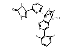 CC1(C)[C@H]2CC[C@]1(c1cncc(-c3n[nH]c(=O)[nH]3)n1)c1nnc(-c3c(F)cccc3F)cc12